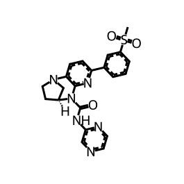 CS(=O)(=O)c1cccc(-c2ccc3c(n2)N(C(=O)Nc2cnccn2)[C@H]2CCN3C2)c1